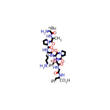 CC[C@H](C)[C@H](N)C(=O)N[C@@H](C)C(=O)N1CCC[C@H]1C(=O)N[C@@H](CCCCN)C(=O)N[C@@H](CO)C(=O)N1CCC[C@H]1C(=O)N[C@@H](CC(C)C)C(=O)NCC(=O)N[C@@H](CC(C)C)C(=O)O